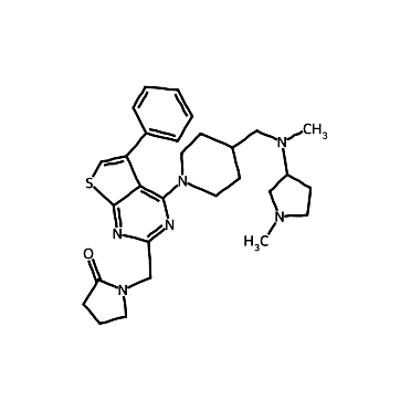 CN1CCC(N(C)CC2CCN(c3nc(CN4CCCC4=O)nc4scc(-c5ccccc5)c34)CC2)C1